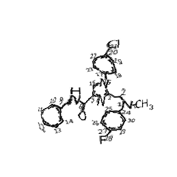 CN(Cc1nc(C(=O)Nc2ccccc2)cn1-c1ccc(Cl)cc1)c1ccc(F)cc1